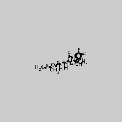 C=C/N=C(\C)OCCNCNCCN(CCF)C(O)C1(C)CCC(F)C(Cl)C1